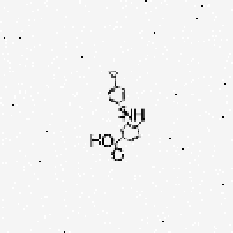 Cc1ccc(C(=O)O)cc1NSc1ccc(C2CC2)cc1